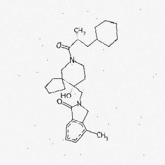 Cc1cccc2c1CN(C[C@]1(O)CCN(C(=O)[C@H](C)CC3CCCCC3)CC13CCCC3)C2=O